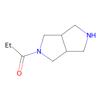 CCC(=O)N1CC2CNCC2C1